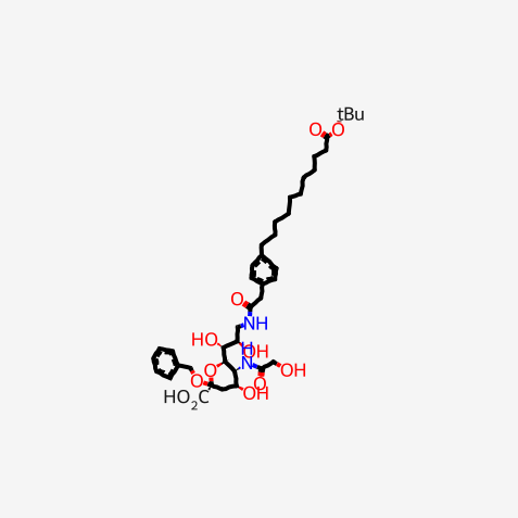 CC(C)(C)OC(=O)CCCCCCCCCCc1ccc(CC(=O)NC[C@@H](O)[C@@H](O)[C@@H]2O[C@@](OCc3ccccc3)(C(=O)O)C[C@H](O)[C@H]2NC(=O)CO)cc1